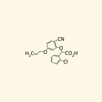 C=CCOc1ccc(C#N)c(OC(C(=O)O)c2ccccc2Cl)c1